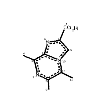 Cc1nc(C)c2nc(C(=O)O)cn2c1C